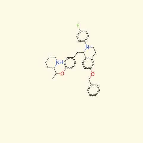 CC(Oc1ccc(CC2c3ccc(OCc4ccccc4)cc3CCN2c2ccc(F)cc2)cc1)C1CCCCN1